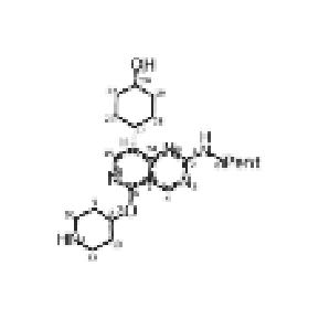 CCCC(C)Nc1ncc2c(OC3CCNCC3)ncc([C@H]3CC[C@H](O)CC3)c2n1